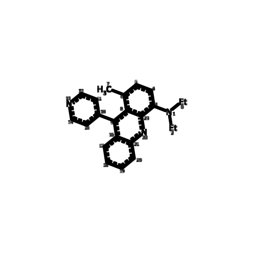 CCN(CC)c1ccc(C)c2c(-c3ccncc3)c3ccccc3nc12